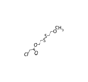 COCCSSCCOC(=O)CCl